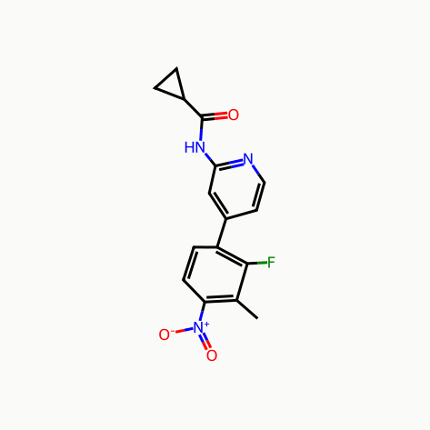 Cc1c([N+](=O)[O-])ccc(-c2ccnc(NC(=O)C3CC3)c2)c1F